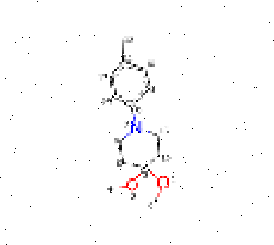 COC1(OC)CCN(c2ccc(C)cc2)CC1